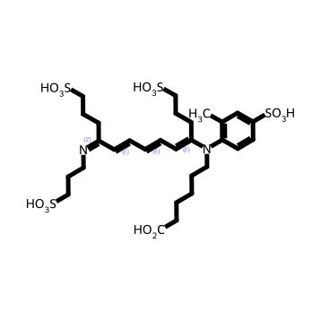 Cc1cc(S(=O)(=O)O)ccc1N(CCCCCC(=O)O)/C(=C/C=C/C=C/C(CCCS(=O)(=O)O)=N\CCCS(=O)(=O)O)CCCS(=O)(=O)O